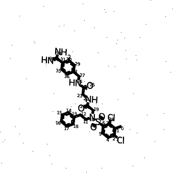 Cc1c(Cl)ccc(S(=O)(=O)N(CCc2ccccc2)CC(=O)NCC(=O)NCc2ccc(C(=N)N)cc2)c1Cl